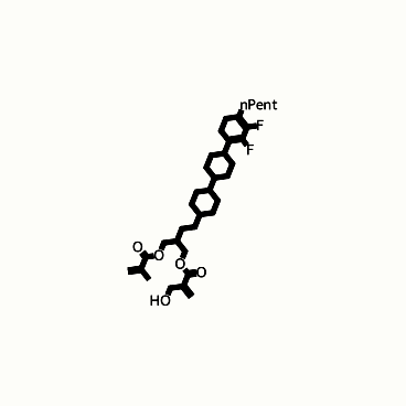 C=C(C)C(=O)OCC(CCC1CCC(C2CCC(C3=C(F)C(F)=C(CCCCC)CC3)CC2)CC1)COC(=O)C(=C)CO